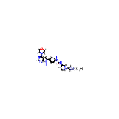 O=C(Nc1ccc(-c2cc3c(N4CCOCC4)ncnc3[nH]2)cc1)NC1CCCN(C2CN(C(=O)O)C2)C1